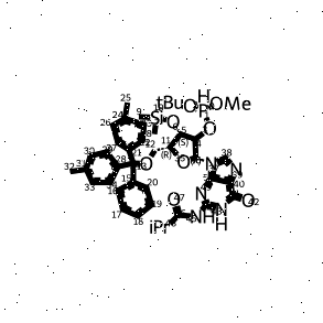 CO[PH](=O)OC1[C@@H](O[Si](C)(C)C(C)(C)C)[C@@H](COC(c2ccccc2)(c2ccc(C)cc2)c2ccc(C)cc2)O[C@H]1n1cnc2c(=O)[nH]c(NC(=O)C(C)C)nc21